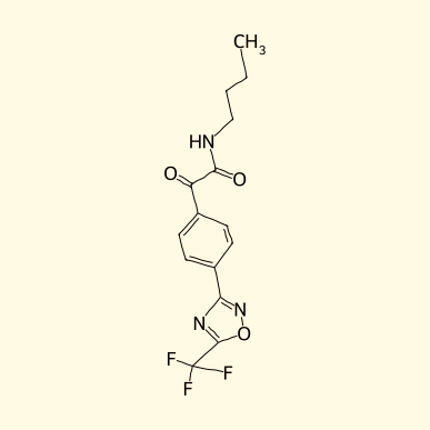 CCCCNC(=O)C(=O)c1ccc(-c2noc(C(F)(F)F)n2)cc1